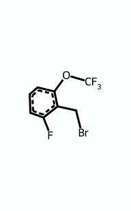 Fc1cccc(OC(F)(F)F)c1CBr